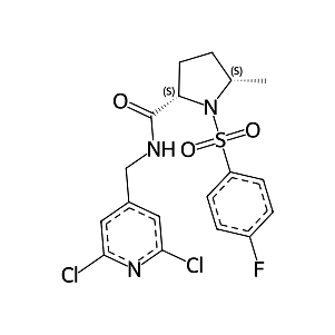 C[C@H]1CC[C@@H](C(=O)NCc2cc(Cl)nc(Cl)c2)N1S(=O)(=O)c1ccc(F)cc1